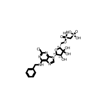 O=P(O)(O)CP(=O)(O)OC[C@H]1O[C@@H](n2cnc3c(NCc4ccccc4)nc(Cl)nc32)[C@H](O)C1(O)O